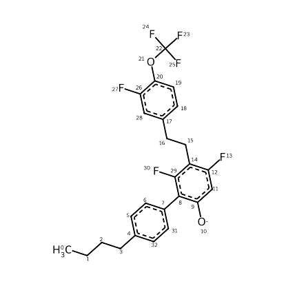 CCCCc1ccc(-c2c([O])cc(F)c(CCc3ccc(OC(F)(F)F)c(F)c3)c2F)cc1